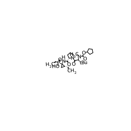 C=C[C@@H]1C[C@]1(NC(=O)[C@@H]1CCCN1C(=O)C(N(C)C(=O)OC1CCCC1)C(C)(C)C)P(=O)(O)C=C